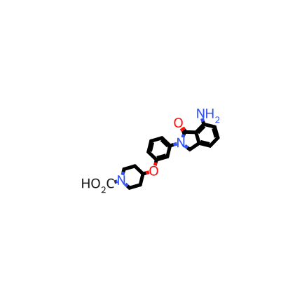 Nc1cccc2c1C(=O)N(c1cccc(OC3CCN(C(=O)O)CC3)c1)C2